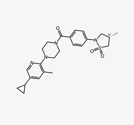 Cc1cc(C2CC2)cnc1N1CCN(C(=O)c2ccc(N3C[C@H](C)CS3(=O)=O)cc2)CC1